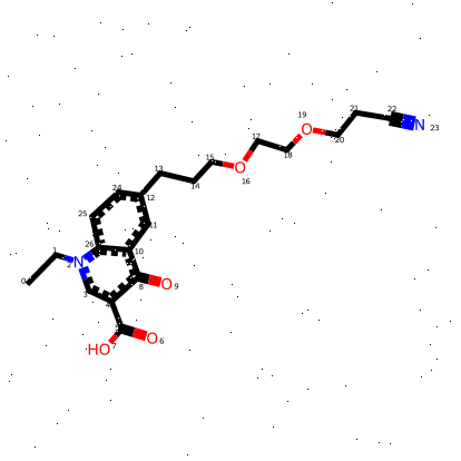 CCn1cc(C(=O)O)c(=O)c2cc(CCCOCCOCCC#N)ccc21